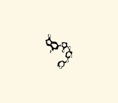 O=C1CCc2c(F)cc(N3CC[C@@H](Oc4ccc(OC5CCCOC5)nc4)C3=O)cc21